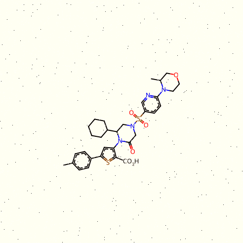 Cc1ccc(-c2cc(N3C(=O)CN(S(=O)(=O)c4ccc(N5CCOCC5C)nc4)CC3C3CCCCC3)c(C(=O)O)s2)cc1